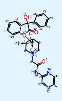 O=C(C[N+]12CCC(CC1)[C@@H](OC(=O)C(O)(c1ccccc1)c1ccccc1)C2)Nc1cnccn1